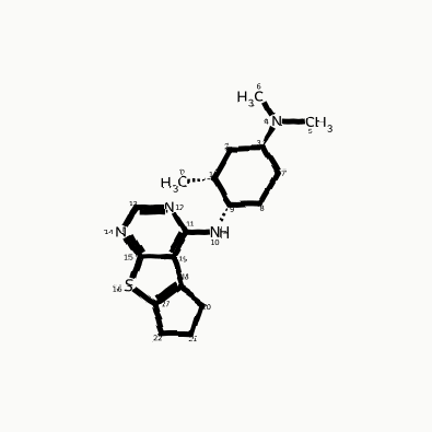 C[C@@H]1C[C@@H](N(C)C)CC[C@@H]1Nc1ncnc2sc3c(c12)CCC3